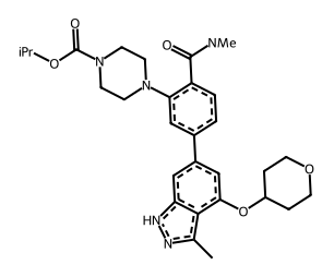 CNC(=O)c1ccc(-c2cc(OC3CCOCC3)c3c(C)n[nH]c3c2)cc1N1CCN(C(=O)OC(C)C)CC1